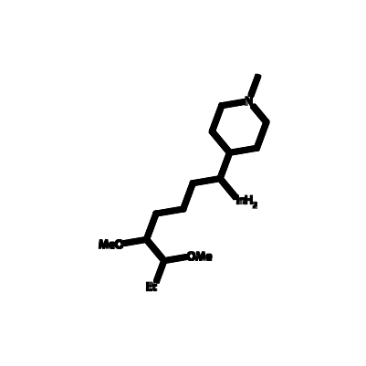 CCC(OC)C(CCC[CH]([InH2])C1CCN(C)CC1)OC